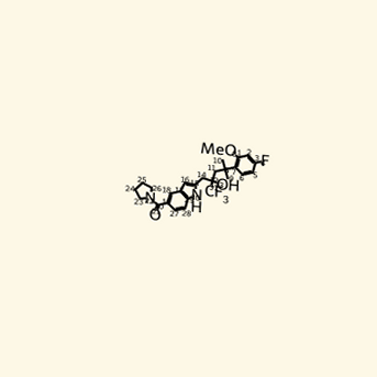 COc1cc(F)ccc1C(C)(C)CC(O)(Cc1cc2cc(C(=O)N3CCCC3)ccc2[nH]1)C(F)(F)F